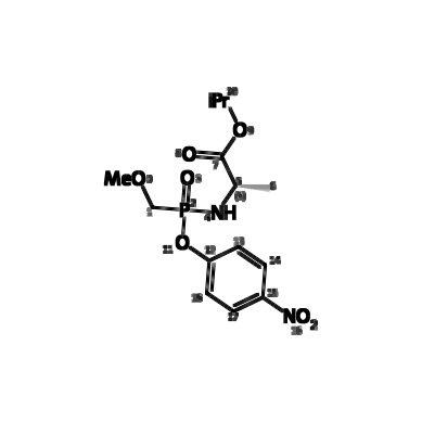 COCP(=O)(N[C@@H](C)C(=O)OC(C)C)Oc1ccc([N+](=O)[O-])cc1